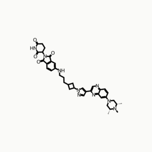 C[C@@H]1CN(c2ccc3ncc(-c4cnn(C5CC(CCCNc6ccc7c(c6)C(=O)N(C6CCC(=O)NC6=O)C7=O)C5)c4)nc3c2)C[C@H](C)N1C